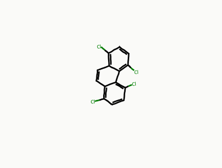 Clc1[c]cc(Cl)c2c1ccc1c(Cl)[c]cc(Cl)c12